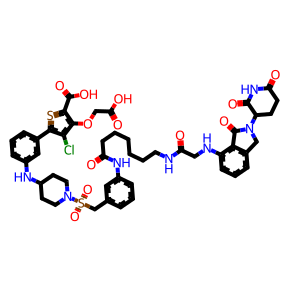 O=C(O)COc1c(C(=O)O)sc(-c2cccc(NC3CCN(S(=O)(=O)Cc4cccc(NC(=O)CCCCCCNC(=O)CNc5cccc6c5C(=O)N(C5CCC(=O)NC5=O)C6)c4)CC3)c2)c1Cl